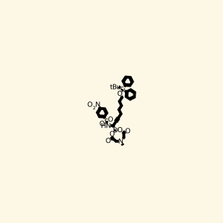 CN1CC(=O)OB(C(C#CCCCCCO[Si](c2ccccc2)(c2ccccc2)C(C)(C)C)NS(=O)(=O)c2ccc([N+](=O)[O-])cc2)OC(=O)C1